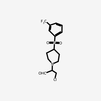 O=CC(CCl)N1CCC(S(=O)(=O)c2cccc(C(F)(F)F)c2)CC1